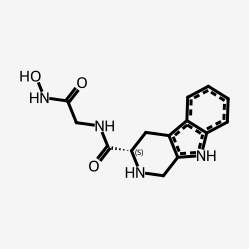 O=C(CNC(=O)[C@@H]1Cc2c([nH]c3ccccc23)CN1)NO